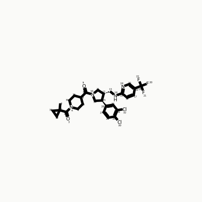 CC1(C(=O)N2CCC(C(=O)N3C[C@H](CNc4ccc(C(F)(F)F)cn4)[C@@H](c4ccc(Cl)c(Cl)c4)C3)CC2)CC1